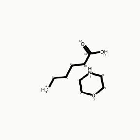 C1COCCN1.CCCCCC(=O)O